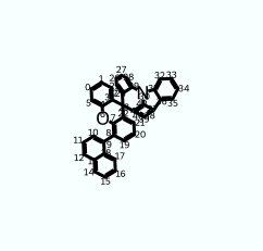 c1ccc2c(c1)Oc1c(-c3cccc4ccccc34)cccc1C21c2ccccc2-n2c3ccccc3c3cccc1c32